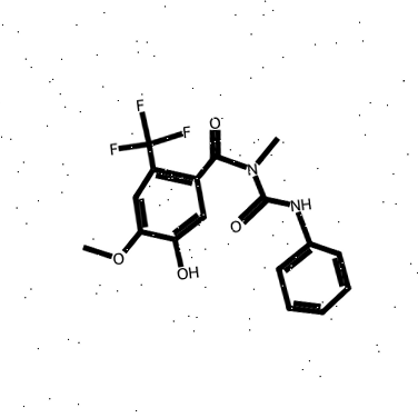 COc1cc(C(F)(F)F)c(C(=O)N(C)C(=O)Nc2ccccc2)cc1O